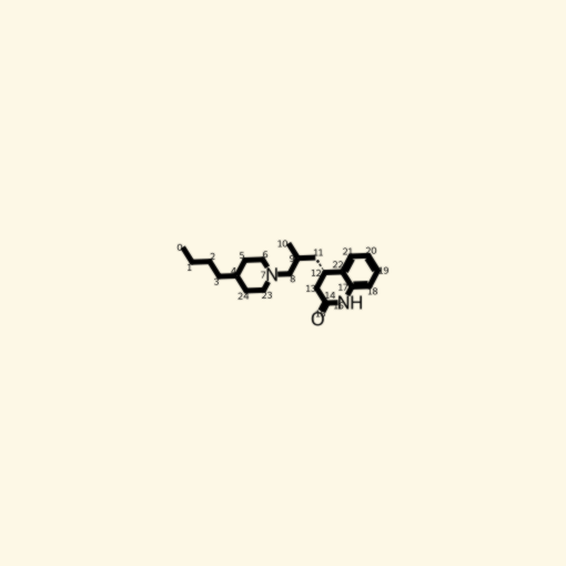 CCCCC1CCN(CC(C)C[C@H]2CC(=O)Nc3ccccc32)CC1